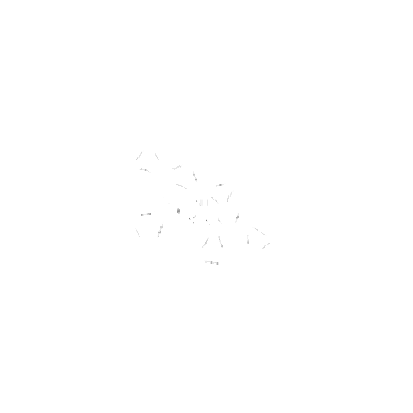 c1ccc2c3c(oc2c1)C(c1cccc2c1oc1ccccc12)NC(n1c2ccccc2c2c4c5ccccc5sc4c4ccccc4c21)=N3